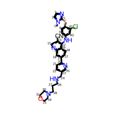 Cn1ccnc1Sc1ccc(Nc2c(C#N)cnc3cc(-c4ccc(CNCCCN5CCOCC5)cn4)ccc23)cc1Cl